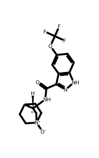 O=C(N[C@@H]1C[N+]2([O-])CCC1CC2)c1n[nH]c2ccc(OC(F)(F)F)cc12